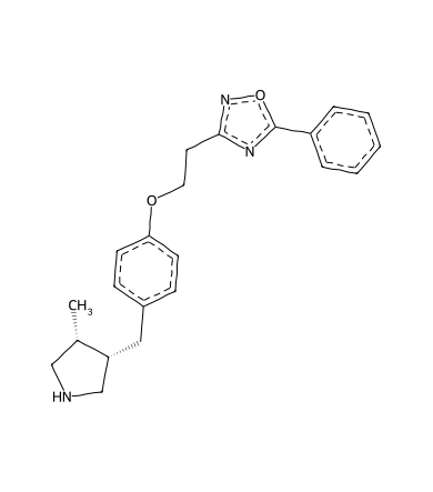 C[C@H]1CNC[C@H]1Cc1ccc(OCCc2noc(-c3ccccc3)n2)cc1